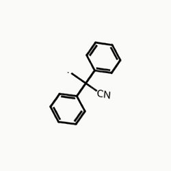 [CH2]C(C#N)(c1ccccc1)c1ccccc1